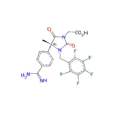 C[C@@]1(c2ccc(C(=N)N)cc2)C(=O)N(CC(=O)O)C(=O)N1Cc1c(F)c(F)c(F)c(F)c1F